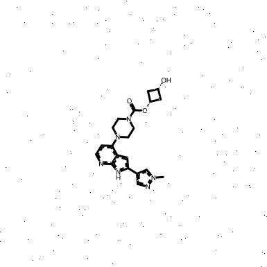 Cn1cc(-c2cc3c(N4CCN(C(=O)O[C@H]5C[C@@H](O)C5)CC4)ccnc3[nH]2)cn1